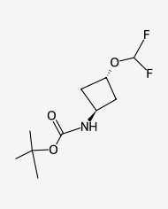 CC(C)(C)OC(=O)N[C@H]1C[C@H](OC(F)F)C1